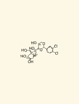 OC[C@@H]1[C@@H](O)[C@H](O)C[Se@+]1C[C@@H](O)[C@H]1OC(c2ccc(Cl)c(Cl)c2)OC[C@H]1O